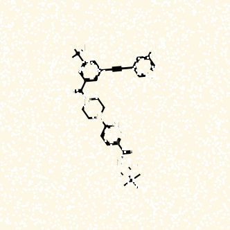 CC(C)(C)S(=O)(=O)NC(=O)c1ccc(N2CCN(C(=O)c3cc(C#Cc4cncc(O)c4)cc(C(F)(F)F)c3)CC2)nn1